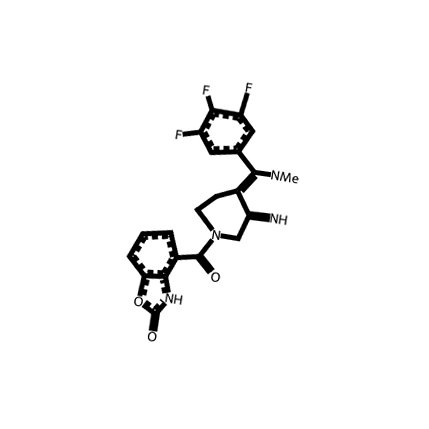 CN/C(=C1/CCN(C(=O)c2cccc3oc(=O)[nH]c23)CC1=N)c1cc(F)c(F)c(F)c1